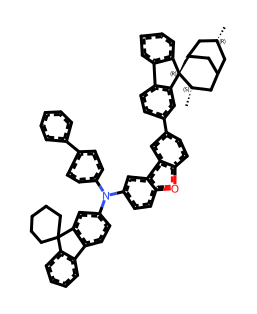 C[C@@H]1CC2CC(C1)[C@@]1(c3ccccc3-c3ccc(-c4ccc5oc6ccc(N(c7ccc(-c8ccccc8)cc7)c7ccc8c(c7)C7(CCCCC7)c7ccccc7-8)cc6c5c4)cc31)[C@@H](C)C2